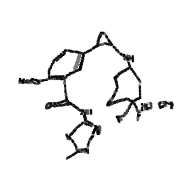 COc1ccc(C2CC2NC2CCC(F)(F)CC2)cc1C(=O)Nc1nnc(C)s1.Cl.Cl